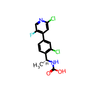 C[C@@H](NC(=O)O)c1ccc(-c2cc(Cl)ncc2F)cc1Cl